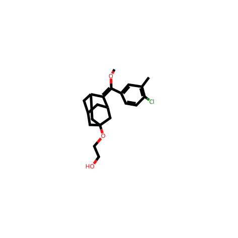 COC(=C1C2CC3CC1CC(OCCO)(C3)C2)c1ccc(Cl)c(C)c1